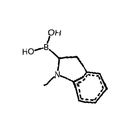 CN1c2ccccc2CC1B(O)O